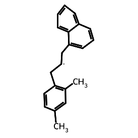 Cc1ccc(C[CH]Cc2cccc3ccccc23)c(C)c1